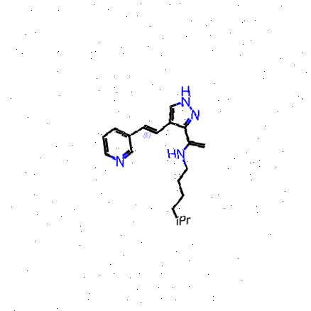 C=C(NCCCCC(C)C)c1n[nH]cc1/C=C/c1cccnc1